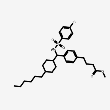 CCCCCCC1CCC(C(NS(=O)(=O)c2ccc(Cl)cc2)c2ccc(CCCC(=O)OC)cc2)CC1